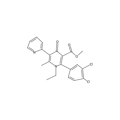 CCn1c(C)c(-c2ccccn2)c(=O)c(C(=O)OC)c1-c1ccc(Cl)c(Cl)c1